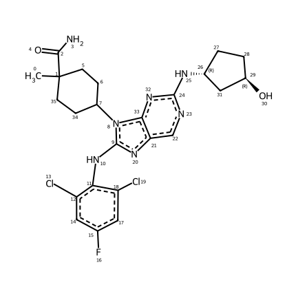 CC1(C(N)=O)CCC(n2c(Nc3c(Cl)cc(F)cc3Cl)nc3cnc(N[C@@H]4CC[C@@H](O)C4)nc32)CC1